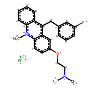 CN(C)CCOc1ccc2c(c1)c(Cc1cccc(F)c1)c1ccccc1[n+]2C.Cl.[Cl-]